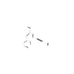 CC(=O)C#Cc1cc(C(C)=O)cc2ccccc12